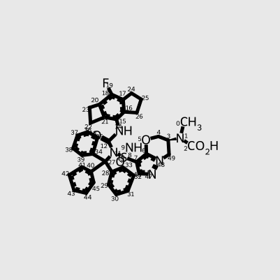 CN(C(=O)O)[C@@H]1COc2c(S(=N)(=O)N(C(=O)Nc3c4c(c(F)c5c3CC5)CCC4)C(c3ccccc3)(c3ccccc3)c3ccccc3)cnn2C1